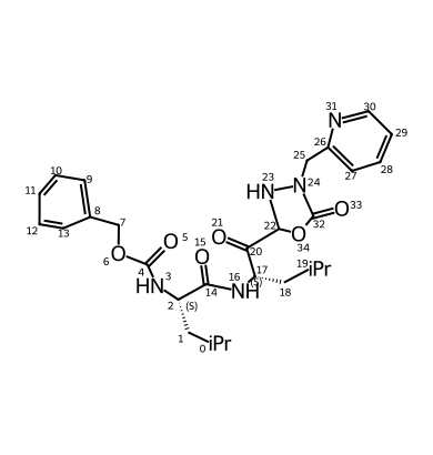 CC(C)C[C@H](NC(=O)OCc1ccccc1)C(=O)N[C@@H](CC(C)C)C(=O)C1NN(Cc2ccccn2)C(=O)O1